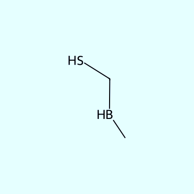 CBCS